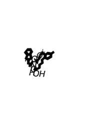 Cc1ccc(CCCCC(=O)O)c([C@@H](C)OC[C@H](O)CNC(C)(C)CC2Cc3ccccc3C2)c1